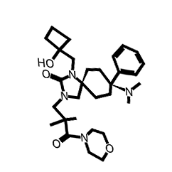 CN(C)[C@]1(c2ccccc2)CC[C@@]2(CC1)CN(CC(C)(C)C(=O)N1CCOCC1)C(=O)N2CC1(O)CCC1